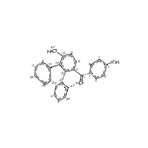 O=C(c1ccc(O)cc1)c1ccc(O)c(-c2ccccc2)c1-c1ccccc1